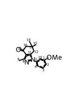 COc1cccc(-n2nc(C)c3c2CC(C)(C)CC3=O)c1